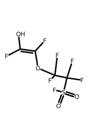 O=S(=O)(F)C(F)(F)C(F)(F)OC(F)=C(O)F